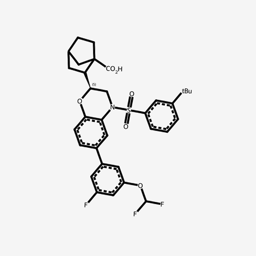 CC(C)(C)c1cccc(S(=O)(=O)N2C[C@H](C3CC4CCC3(C(=O)O)C4)Oc3ccc(-c4cc(F)cc(OC(F)F)c4)cc32)c1